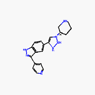 C1=C(c2ccc3[nH]nc(-c4ccncc4)c3c2)NNN1[C@@H]1CCCNC1